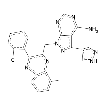 Cc1cccc2nc(-c3ccccc3Cl)c(Cn3nc(-c4cn[nH]c4)c4c(N)ncnc43)nc12